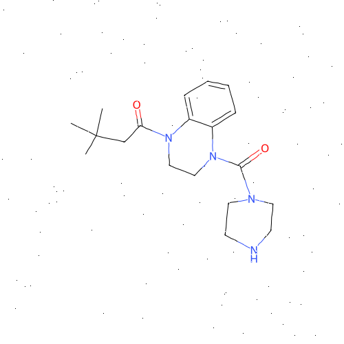 CC(C)(C)CC(=O)N1CCN(C(=O)N2CCNCC2)c2ccccc21